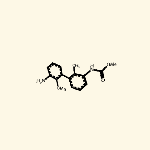 COC(=O)Nc1cccc(-c2cccc(N)c2OC)c1C